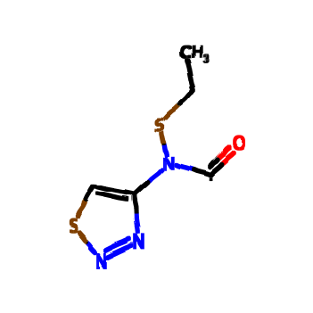 CCSN([C]=O)c1csnn1